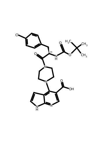 CC(C)(C)OC(=O)N[C@H](Cc1ccc(Cl)cc1)C(=O)N1CCN(c2c(C(=O)O)cnc3[nH]ccc23)CC1